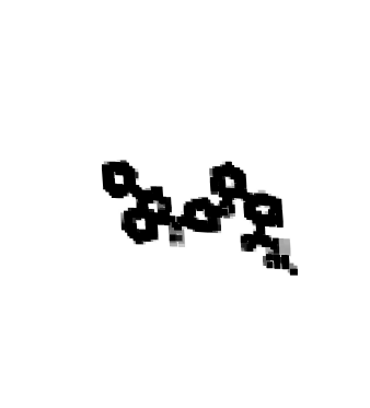 CNC(=O)c1cc(-c2cccnc2Oc2ccc(Nc3nnc(-c4ccccc4)c4ccccc34)cc2)ccn1